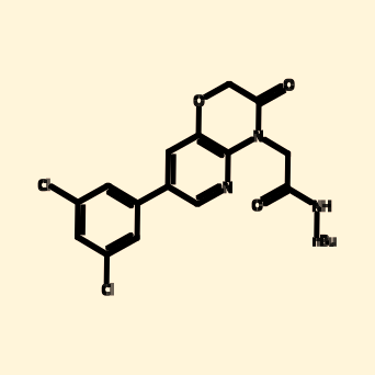 CCCCNC(=O)CN1C(=O)COc2cc(-c3cc(Cl)cc(Cl)c3)cnc21